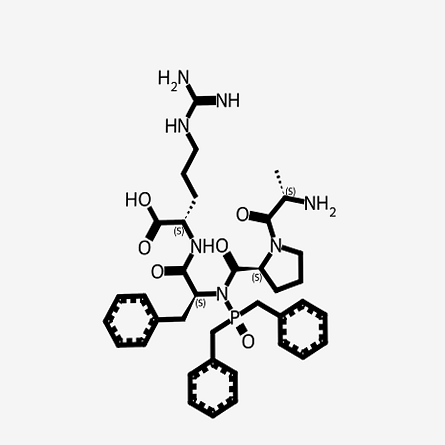 C[C@H](N)C(=O)N1CCC[C@H]1C(=O)N([C@@H](Cc1ccccc1)C(=O)N[C@@H](CCCNC(=N)N)C(=O)O)P(=O)(Cc1ccccc1)Cc1ccccc1